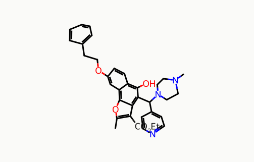 CCOC(=O)c1c(C)oc2c1c(C(c1ccncc1)N1CCN(C)CC1)c(O)c1ccc(OCCc3ccccc3)cc12